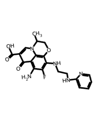 CC1COc2c(NCCNc3ccccn3)c(F)c(N)c3c(=O)c(C(=O)O)cn1c23